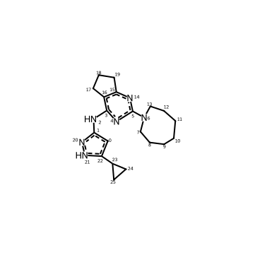 c1c(Nc2nc(N3CCCCCCC3)nc3c2CCC3)n[nH]c1C1CC1